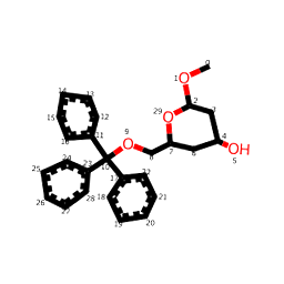 COC1CC(O)CC(COC(c2ccccc2)(c2ccccc2)c2ccccc2)O1